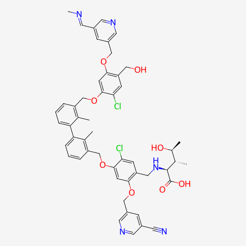 C/N=C/c1cncc(COc2cc(OCc3cccc(-c4cccc(COc5cc(OCc6cncc(C#N)c6)c(CN[C@H](C(=O)O)[C@@H](C)[C@H](C)O)cc5Cl)c4C)c3C)c(Cl)cc2CO)c1